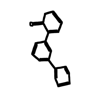 O=C1CC=CC=C1c1cccc(-c2ccccc2)c1